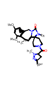 CCN1C(=O)N2Cc3cc(OC)cc(OC)c3[C@@H](C)C=C2C12CCN(C(=O)C1CC(C(C)(C)C)=NN1C)CC2